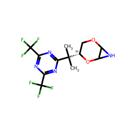 CC(C)(c1nc(C(F)(F)F)nc(C(F)(F)F)n1)[C@@H]1COC2NC2O1